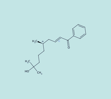 C[C@@H](C/C=C/C(=O)c1ccccc1)CCCC(C)(C)O